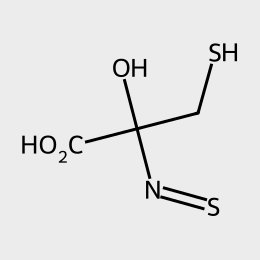 O=C(O)C(O)(CS)N=S